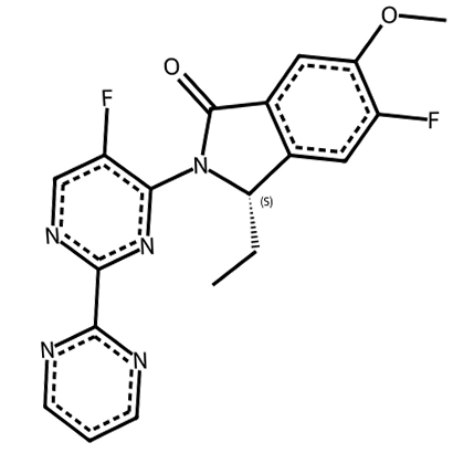 CC[C@H]1c2cc(F)c(OC)cc2C(=O)N1c1nc(-c2ncccn2)ncc1F